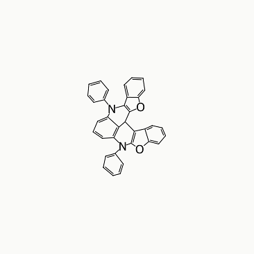 c1ccc(N2c3cccc4c3C(c3oc5ccccc5c3N4c3ccccc3)c3c2oc2ccccc32)cc1